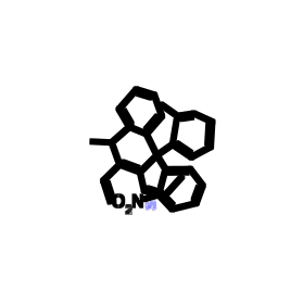 C=CC1=C(/C=C\C)C(c2ccccc2C)(c2ccccc2[N+](=O)[O-])c2ccccc2C1C